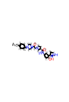 CC(=O)c1ccc(N2CCN(C(=O)CN3CC[C@@H](C(=O)Nc4ccc(O)c(-c5cc[nH]n5)c4)C3)CC2)cc1